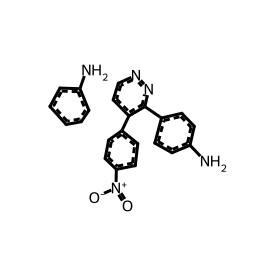 Nc1ccc(-c2nnccc2-c2ccc([N+](=O)[O-])cc2)cc1.Nc1ccccc1